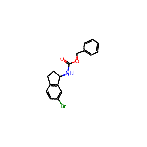 O=C(NC1CCc2ccc(Br)cc21)OCc1ccccc1